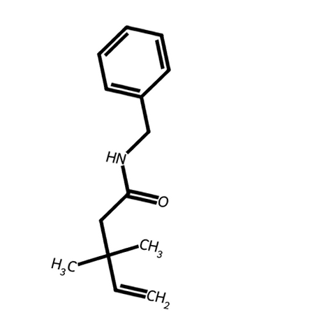 C=CC(C)(C)CC(=O)NCc1ccccc1